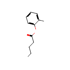 O=CCCCC(=O)Oc1ccccc1C(F)(F)F